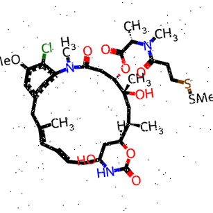 COc1cc2cc(c1Cl)N(C)C(=O)C[C@H](OC(=O)[C@H](C)N(C)C(=O)CCSSC)[C@](C)(O)C[C@@H](C)[C@@H]1C[C@](O)(C/C=C/C=C(\C)C2)NC(=O)O1